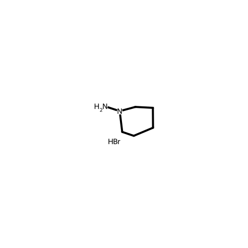 Br.NN1CCCCC1